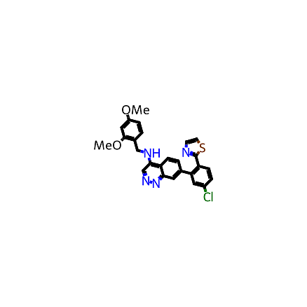 COc1ccc(CNc2cnnc3cc(-c4cc(Cl)ccc4-c4nccs4)ccc23)c(OC)c1